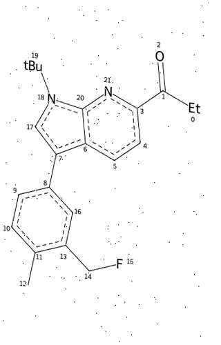 CCC(=O)c1ccc2c(-c3ccc(C)c(CF)c3)cn(C(C)(C)C)c2n1